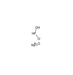 O.[Na+].[O-]PO